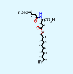 CCCCCCCCCCCCCC(=O)N[C@@H](CCC(=O)OCCCCCCCCCCC(C)C)C(=O)O